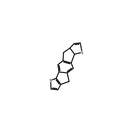 C1=CC2Cc3cc4c(cc3C2S1)Cc1ccsc1-4